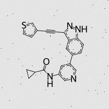 O=C(Nc1cncc(-c2ccc3[nH]nc(C#Cc4ccsc4)c3c2)c1)C1CC1